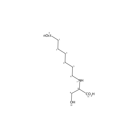 CCCCCCCCCCCCCCNC(CO)C(=O)O